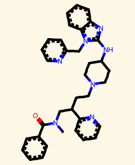 CN(CC(CCN1CCC(Nc2nc3ccccc3n2Cc2ccccn2)CC1)c1ccccn1)C(=O)c1ccccc1